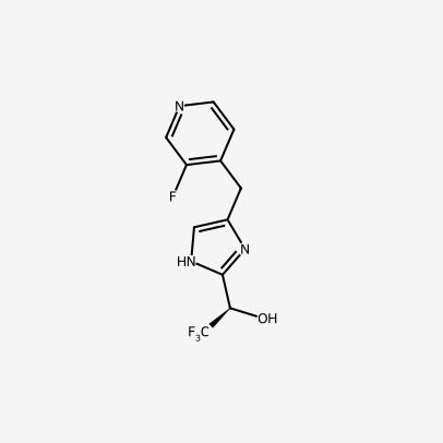 O[C@H](c1nc(Cc2ccncc2F)c[nH]1)C(F)(F)F